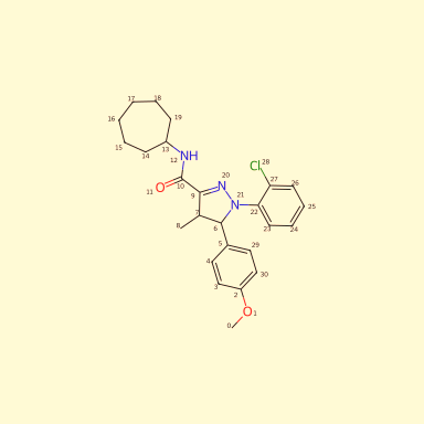 COc1ccc(C2C(C)C(C(=O)NC3CCCCCC3)=NN2c2ccccc2Cl)cc1